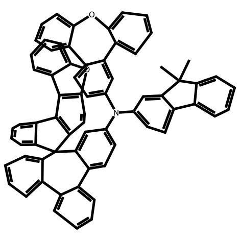 CC1(C)c2ccccc2-c2ccc(N(c3ccc4c(c3)-c3ccccc3Oc3ccccc3-4)c3ccc4c(c3)C3(c5ccccc5-c5ccccc5-4)c4ccccc4-c4c3ccc3oc5ccccc5c43)cc21